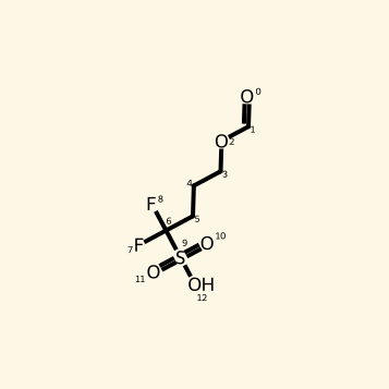 O=COCCCC(F)(F)S(=O)(=O)O